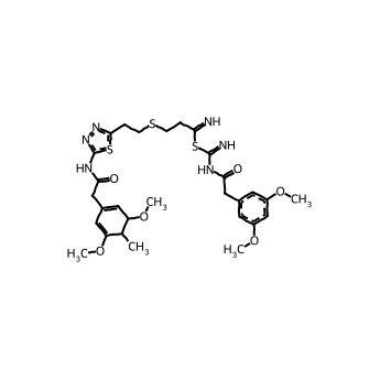 COC1=CC(CC(=O)Nc2nnc(CCSCCC(=N)SC(=N)NC(=O)Cc3cc(OC)cc(OC)c3)s2)=CC(OC)C1C